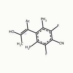 CC(=O)/C(=C(/C)O)c1c(P)c(F)c(C#N)c(F)c1P